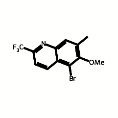 COc1c(C)cc2nc(C(F)(F)F)ccc2c1Br